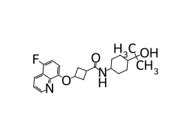 CC(C)(O)C1CCC(NC(=O)C2CC(Oc3ccc(F)c4cccnc34)C2)CC1